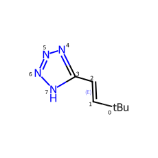 CC(C)(C)/C=C/c1nnn[nH]1